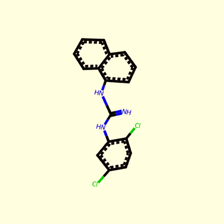 N=C(Nc1cc(Cl)ccc1Cl)Nc1cccc2ccccc12